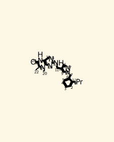 CC(C)c1ccccc1Cn1cc(CNc2ncc3c(n2)N(C)[C@@H](C)C(=O)N3)cn1